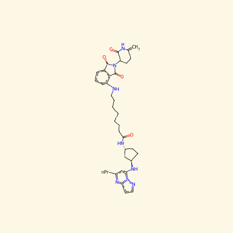 C=C1CCC(N2C(=O)c3cccc(NCCCCCCCC(=O)N[C@@H]4CC[C@@H](Nc5cc(CCC)nc6ccnn56)C4)c3C2=O)C(=O)N1